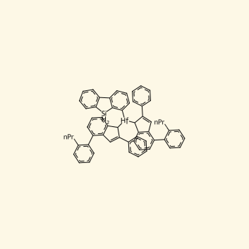 CCCc1ccccc1-c1cccc2c1C=C(c1ccccc1)[CH]2[Hf]([c]1cccc2c1[SiH2]c1ccccc1-2)[CH]1C(c2ccccc2)=Cc2c(-c3ccccc3CCC)cccc21